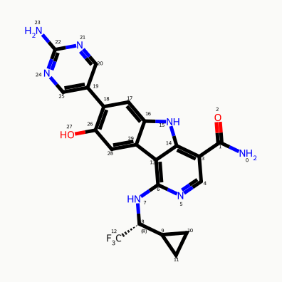 NC(=O)c1cnc(N[C@H](C2CC2)C(F)(F)F)c2c1[nH]c1cc(-c3cnc(N)nc3)c(O)cc12